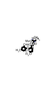 C/C=C(\C(=N/C)OC)S(=O)(=O)NC(O)c1ccc(Cl)nc1OC1=C(C)CC(C)C=C1C